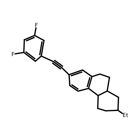 CCC1CCC2c3ccc(C#Cc4cc(F)cc(F)c4)cc3CCC2C1